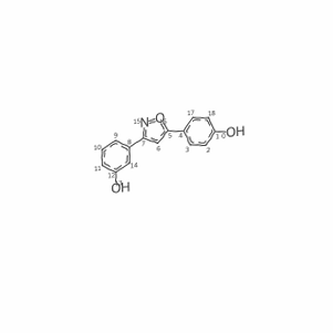 Oc1ccc(-c2cc(-c3cccc(O)c3)no2)cc1